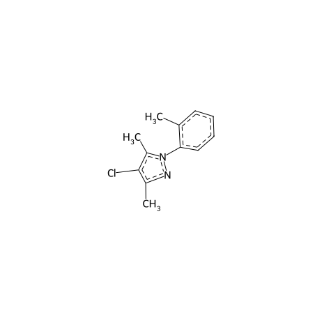 Cc1ccccc1-n1nc(C)c(Cl)c1C